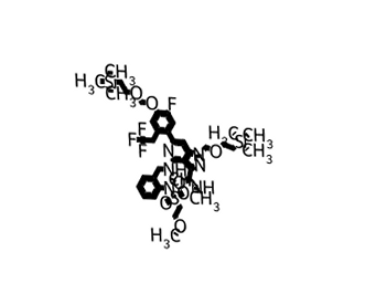 CNC(=O)c1nn(COCC[Si](C)(C)C)c2cc(-c3cc(F)c(OCOCC[Si](C)(C)C)cc3CC(F)(F)F)nc(NCc3ccccc3N(C)S(=O)(=O)CCOC)c12